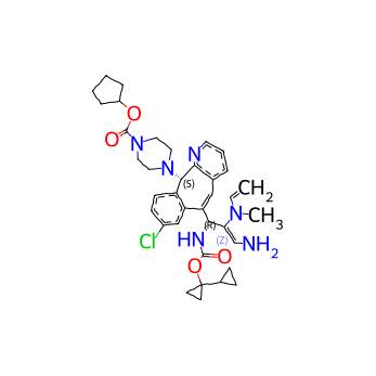 C=CN(C)/C(=C\N)[C@H](NC(=O)OC1(C2CC2)CC1)C1=Cc2cccnc2[C@@H](N2CCN(C(=O)OC3CCCC3)CC2)c2ccc(Cl)cc21